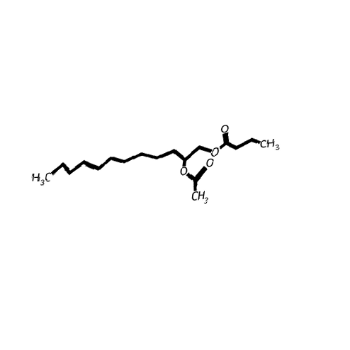 CCCCCCCCCCC(COC(=O)CCC)OC(C)=O